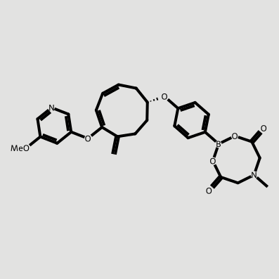 C=C1CC[C@@H](Oc2ccc(B3OC(=O)CN(C)CC(=O)O3)cc2)C/C=C\C=C/1Oc1cncc(OC)c1